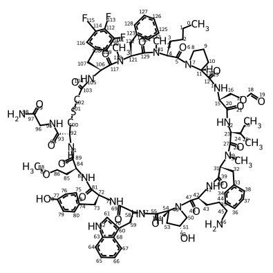 CCCC[C@H]1C(=O)N2CCC[C@@H]2C(=O)N[C@@H](COC=O)C(=O)N[C@@H](C(C)C)C(=O)N(C)[C@@H](Cc2ccccc2)C(=O)N[C@@H](CCCN)C(=O)N2C[C@H](O)C[C@@H]2C(=O)N[C@@H](Cc2c[nH]c3ccccc23)C(=O)N[C@@H](Cc2ccc(O)cc2)C(=O)N[C@@H](CCOC)C(=O)N[C@H](C(=O)NCC(N)=O)CSCC(=O)N[C@@H](Cc2cc(F)c(F)c(F)c2)C(=O)N(C)[C@@H](Cc2ccccc2)C(=O)N1C